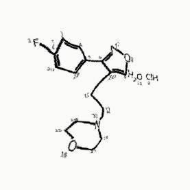 Cl.Fc1ccc(-c2nocc2CCN2CCOCC2)cc1.O